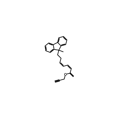 C#CCOC(=C)/C=C\C=C/CCC1(C)c2ccccc2-c2ccccc21